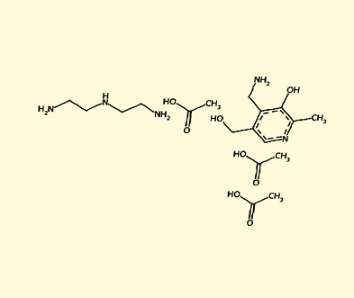 CC(=O)O.CC(=O)O.CC(=O)O.Cc1ncc(CO)c(CN)c1O.NCCNCCN